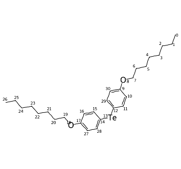 CCCCCCCCOc1ccc([Te]c2ccc(OCCCCCCCC)cc2)cc1